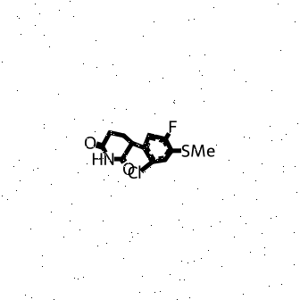 CSc1cc(Cl)c(C2CCC(=O)NC2=O)cc1F